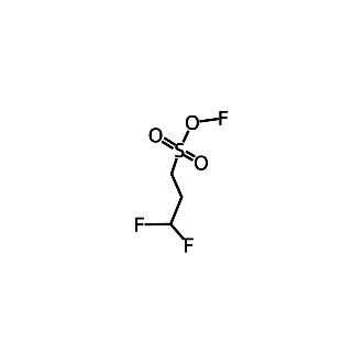 O=S(=O)(CCC(F)F)OF